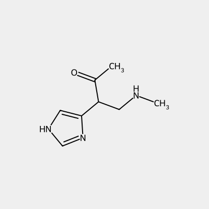 CNCC(C(C)=O)c1c[nH]cn1